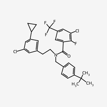 CC(C)(C)c1ccc(CN(CCc2cc(Cl)cc(C3CC3)c2)C(=O)c2cc(C(F)(F)F)cc(Cl)c2F)cc1